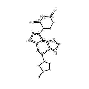 C[C@@H]1CCC(c2cc3onc(C4CCC(=O)NC4=O)c3c3cc[nH]c23)C1